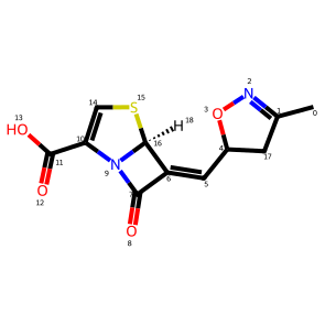 CC1=NOC(/C=C2/C(=O)N3C(C(=O)O)=CS[C@@H]23)C1